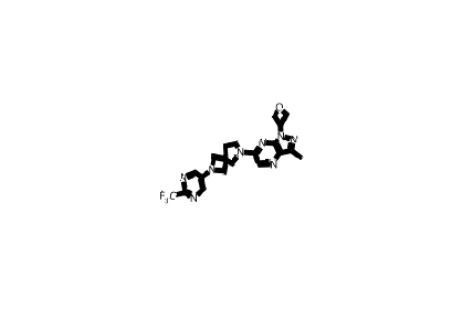 Cc1nn(C2COC2)c2nc(N3CCC4(CN(c5cnc(C(F)(F)F)nc5)C4)C3)cnc12